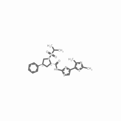 Cc1nc(C)c(-c2csc(NC(=O)[C@@H]3C[C@@H](c4ccccc4)CN3S(=O)(=O)C(C)C)n2)s1